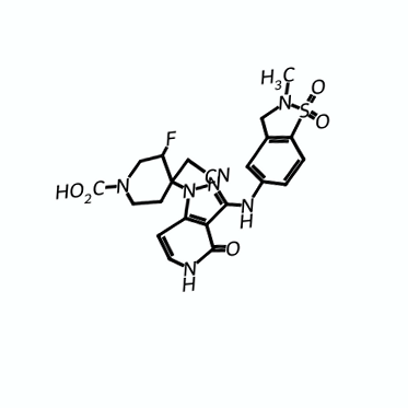 CN1Cc2cc(Nc3nn(C4(CC#N)CCN(C(=O)O)CC4F)c4cc[nH]c(=O)c34)ccc2S1(=O)=O